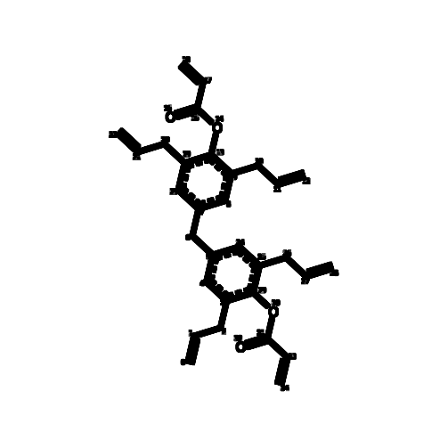 C=CCc1cc(Cc2cc(CC=C)c(OC(=O)C=C)c(CC=C)c2)cc(CC=C)c1OC(=O)C=C